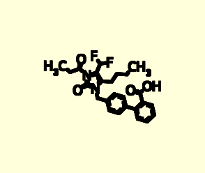 CCCCc1c(C(F)F)n(C(=O)CC)c(=O)n1Cc1ccc(-c2ccccc2C(=O)O)cc1